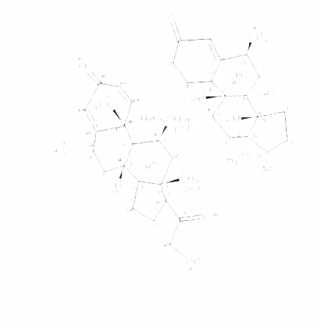 CC(=O)[C@H]1CC[C@H]2[C@@H]3C[C@H](C)C4=CC(=O)CC[C@]4(C)[C@H]3[C@@H](O)C[C@]12C.C[C@H]1C[C@@H]2[C@H]([C@@H](O)C[C@@]3(C)[C@H]2CC[C@]3(O)C(=O)CO)[C@@]2(C)C=CC(=O)C=C12